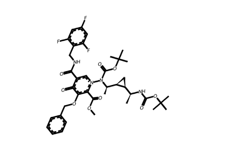 COC(=O)c1c(OCc2ccccc2)c(=O)c(C(=O)NCc2c(F)cc(F)cc2F)cn1N(C(=O)OC(C)(C)C)[C@H](C)[C@H]1C[C@H]1[C@H](C)NC(=O)OC(C)(C)C